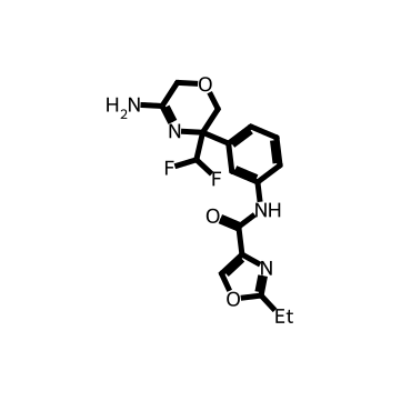 CCc1nc(C(=O)Nc2cccc(C3(C(F)F)COCC(N)=N3)c2)co1